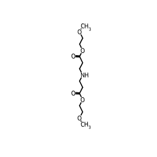 COCCOC(=O)CCNCCC(=O)OCCOC